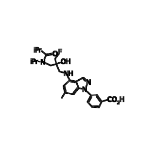 Cc1cc(NCC(O)(CF)CN(C(=O)C(C)C)C(C)C)c2cnn(-c3cccc(C(=O)O)c3)c2c1